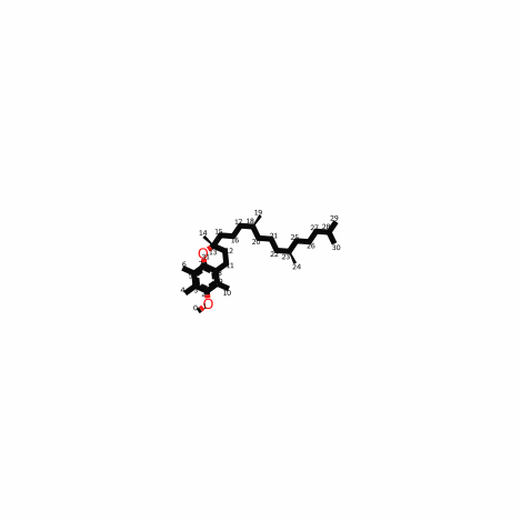 COc1c(C)c(C)c2c(c1C)CC[C@@](C)(CCC[C@@H](C)CCC[C@H](C)CCCC(C)C)O2